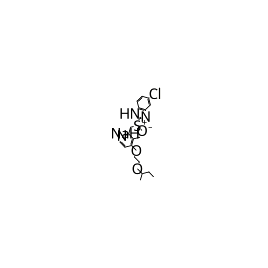 CCC(C)OCCOc1ccnc(C[S+]([O-])c2nc3cc(Cl)ccc3[nH]2)c1C.[NaH]